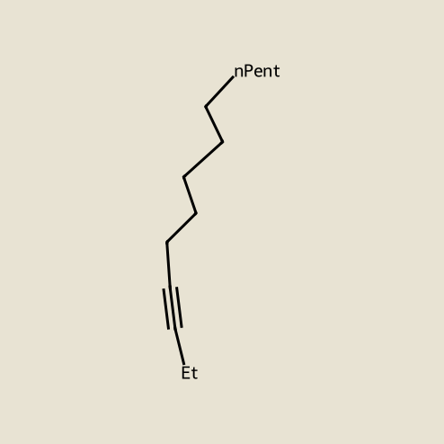 CCC#CCCCCCCCCCC